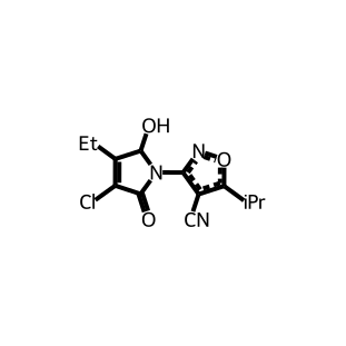 CCC1=C(Cl)C(=O)N(c2noc(C(C)C)c2C#N)C1O